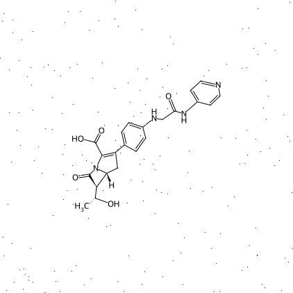 C[C@@H](O)[C@H]1C(=O)N2C(C(=O)O)=C(c3ccc(NCC(=O)Nc4ccncc4)cc3)C[C@H]12